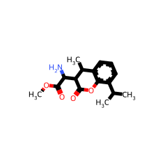 COC(=O)C(N)C1C(=O)Oc2c(C(C)C)cccc2C1C